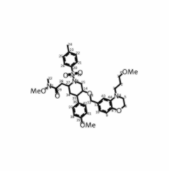 COCCCN1CCOc2ccc(COC3CN(S(=O)(=O)c4ccc(C)cc4)C(CC(=O)N(C)OC)CC3c3ccc(OC)cc3)cc21